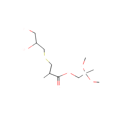 CO[Si](C)(COC(=O)C(C)CSCC(O)CO)OC